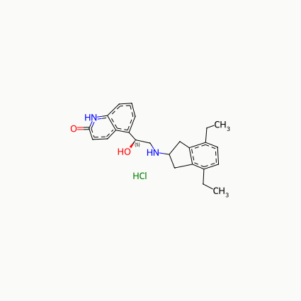 CCc1ccc(CC)c2c1CC(NC[C@@H](O)c1cccc3[nH]c(=O)ccc13)C2.Cl